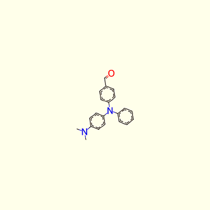 CN(C)c1ccc(N(c2ccccc2)c2ccc(C=O)cc2)cc1